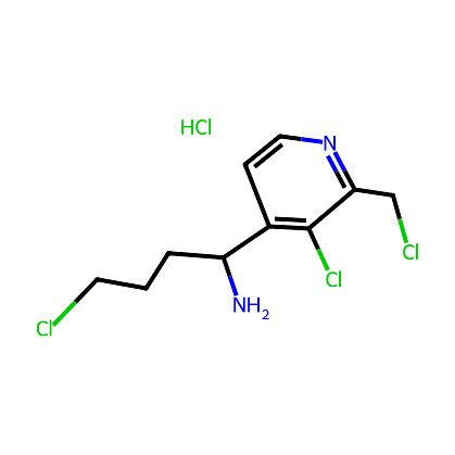 Cl.NC(CCCCl)c1ccnc(CCl)c1Cl